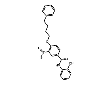 O=C(Nc1ccccc1O)c1ccc(OCCCCc2ccccc2)c([N+](=O)[O-])c1